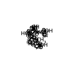 Cn1c(=O)c(C(=O)c2cccc(S(=O)(=O)O)c2)c2c3c(c(Nc4cc(NC(=O)CCSc5ccccc5C(=O)O)c(S(=O)(=O)O)cc4S(=O)(=O)O)ccc31)C(=O)c1ccccc1-2